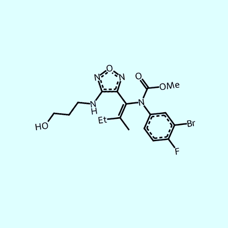 CC/C(C)=C(\c1nonc1NCCCO)N(C(=O)OC)c1ccc(F)c(Br)c1